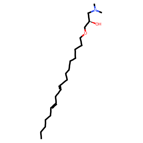 CCCCCC=CCC=CCCCCCCCCOC[C@H](O)CN(C)C